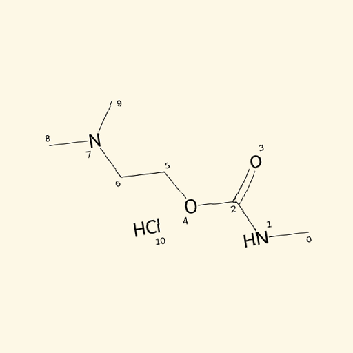 CNC(=O)OCCN(C)C.Cl